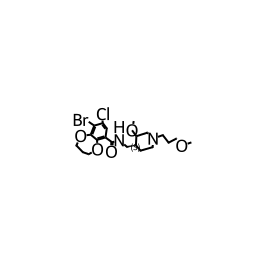 COCCCN1CC[C@@H](CNC(=O)c2cc(Cl)c(Br)c3c2OCCCO3)C(OC)C1